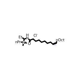 CCCCCCCC/C=C\CCCCCCCC(=O)NC(CC)[N+](C)(C)CCC.[Cl-]